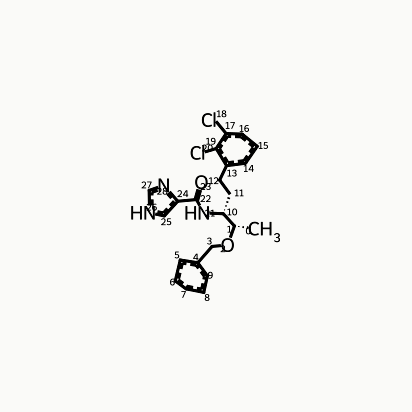 C[C@H](OCc1ccccc1)[C@@H](CCc1cccc(Cl)c1Cl)NC(=O)c1c[nH]cn1